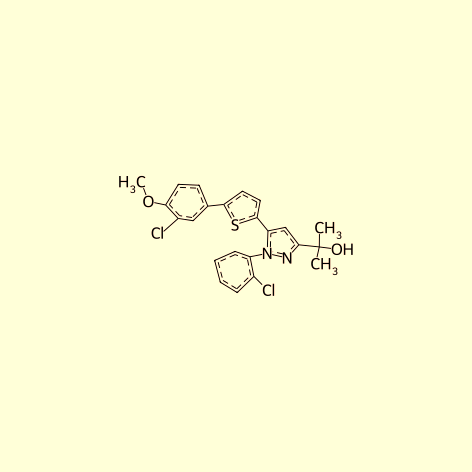 COc1ccc(-c2ccc(-c3cc(C(C)(C)O)nn3-c3ccccc3Cl)s2)cc1Cl